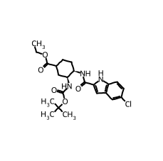 CCOC(=O)C1CC[C@@H](NC(=O)c2cc3cc(Cl)ccc3[nH]2)[C@@H](NC(=O)OC(C)(C)C)C1